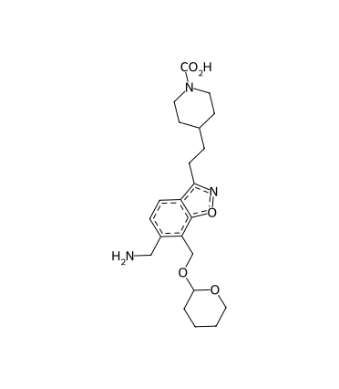 NCc1ccc2c(CCC3CCN(C(=O)O)CC3)noc2c1COC1CCCCO1